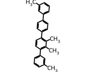 Cc1cccc(-c2ccc(-c3ccc(-c4cccc(C)c4)c(C)c3C)cc2)c1